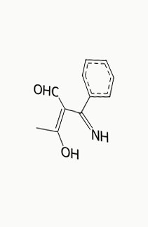 C/C(O)=C(\C=O)C(=N)c1ccccc1